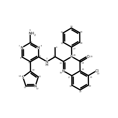 CC(Nc1nc(N)ncc1-c1cncs1)c1nc2cccc(Cl)c2c(=O)n1-c1ccccc1